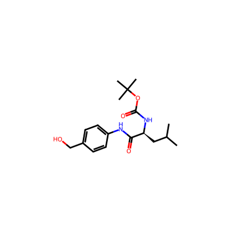 CC(C)C[C@H](NC(=O)OC(C)(C)C)C(=O)Nc1ccc(CO)cc1